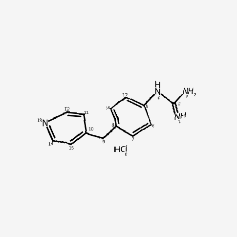 Cl.N=C(N)Nc1ccc(Cc2ccncc2)cc1